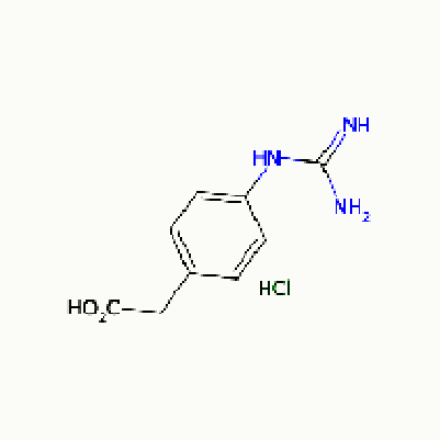 Cl.N=C(N)Nc1ccc(CC(=O)O)cc1